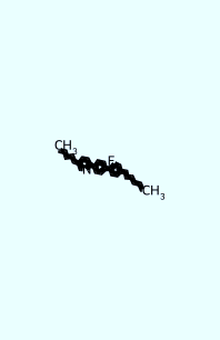 CCCCCCCc1ccc(-c2ccc(-c3ccc(CCCCCC)cn3)cc2)c(F)c1